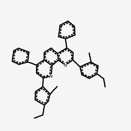 CCc1ccc(-c2cc(-c3ccccc3)c3ccc4c(-c5ccccc5)cc(-c5ccc(CC)cc5C)nc4c3n2)c(C)c1